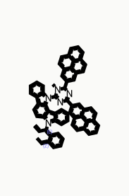 C=C/C(=c1/cccc/c1=C/C)n1c2ccccc2c2c3c(ccc21)c1ccccc1n3C1=NC(c2cc3ccc4cccc5ccc(c2)c3c45)=NC(c2cc3ccc4cccc5ccc(c2)c3c45)N1C